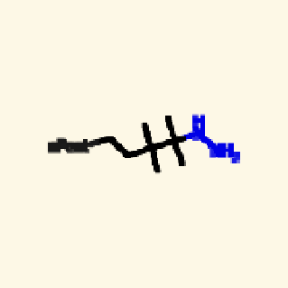 CCCCCCCC(C)(C)C(C)(C)NN